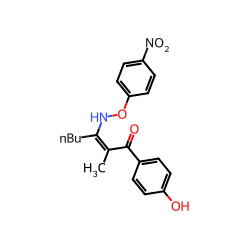 CCCCC(NOc1ccc([N+](=O)[O-])cc1)=C(C)C(=O)c1ccc(O)cc1